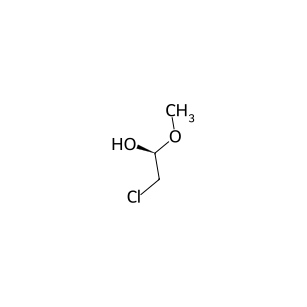 CO[C@H](O)CCl